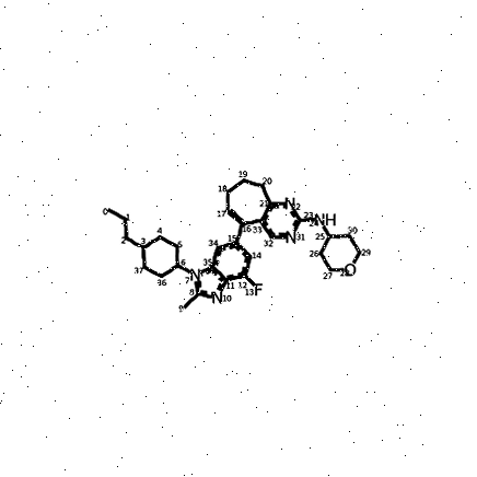 CCCC1CCC(n2c(C)nc3c(F)cc(C4=CCCCc5nc(NC6CCOCC6)ncc54)cc32)CC1